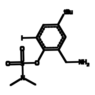 CN(C)S(=O)(=O)Oc1c(I)cc(C(C)(C)C)cc1CN